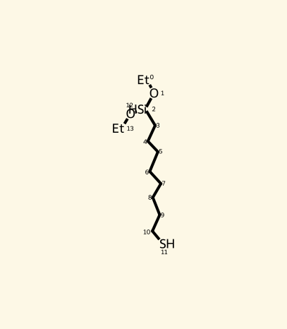 CCO[SiH](CCCCCCCCS)OCC